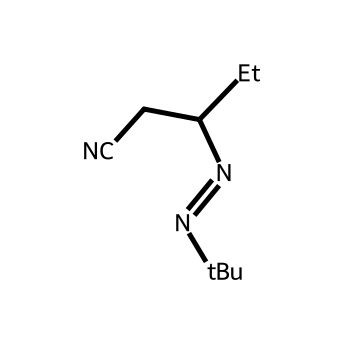 CCC(CC#N)N=NC(C)(C)C